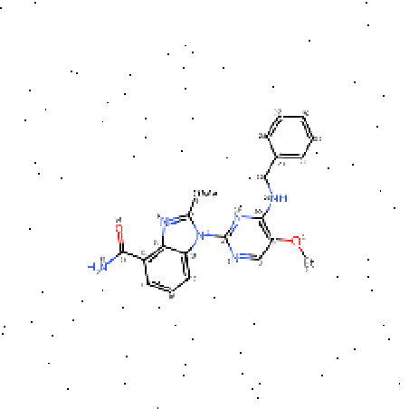 CCOc1cnc(-n2c(OC)nc3c(C(N)=O)cccc32)nc1NCc1ccccc1